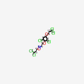 ClC(Cl)=CCO/N=C/COc1c(Cl)cc(OCC=C(Cl)Cl)cc1Cl